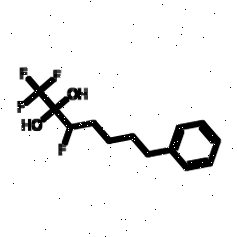 OC(O)(C(F)CCCCc1ccccc1)C(F)(F)F